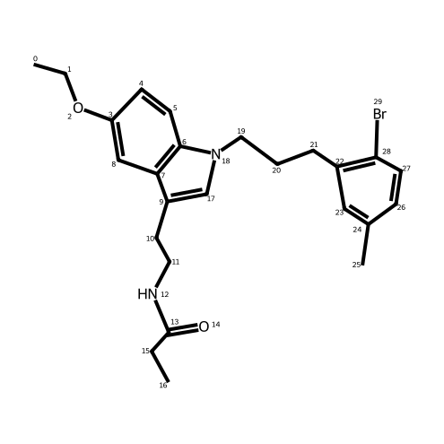 CCOc1ccc2c(c1)c(CCNC(=O)CC)cn2CCCc1cc(C)ccc1Br